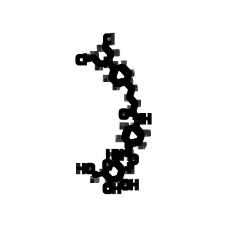 O=C(CCCc1ccc(N(CCCl)CCCl)cc1)Nc1ccc(C(=O)N[C@@H]2O[C@H](CO)[C@@H](O)[C@H](O)[C@@H]2F)cc1